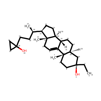 CC[C@]1(O)CC[C@]2(C)C3=CC[C@]4(C)[C@@H]([C@H](C)CCC5(O)CC5)CC[C@H]4[C@@H]3CC[C@H]2C1